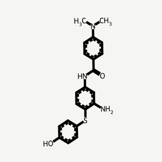 CN(C)c1ccc(C(=O)Nc2ccc(Sc3ccc(O)cc3)c(N)c2)cc1